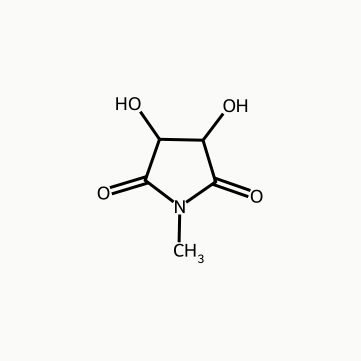 CN1C(=O)C(O)C(O)C1=O